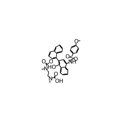 COc1ccc(S(=O)(=O)Nc2cc(-c3c(OC(=O)N(C)CCN(C)C(=O)O)ccc4ccccc34)c(O)c3ccccc23)cc1